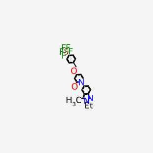 CCn1nc2ccc(-n3ccc(OCc4ccc(S(F)(F)(F)(F)F)cc4)cc3=O)cc2c1C